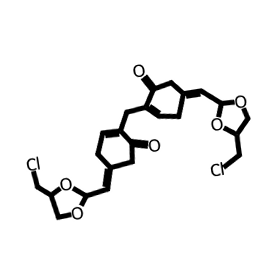 O=C1CC(=CC2OCC(CCl)O2)CC=C1CC1=CCC(=CC2OCC(CCl)O2)CC1=O